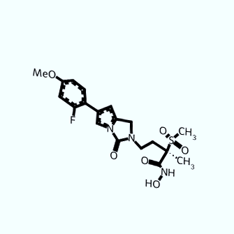 COc1ccc(-c2cc3n(c2)C(=O)N(CC[C@](C)(C(=O)NO)S(C)(=O)=O)C3)c(F)c1